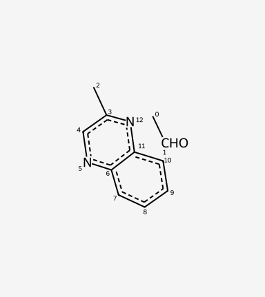 CC=O.Cc1cnc2ccccc2n1